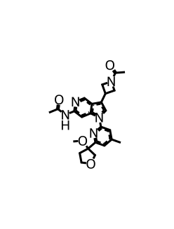 COC1(c2cc(C)cc(-n3cc(C4CN(C(C)=O)C4)c4cnc(NC(C)=O)cc43)n2)CCOC1